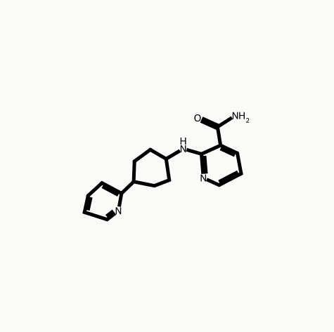 NC(=O)c1cccnc1NC1CCC(c2ccccn2)CC1